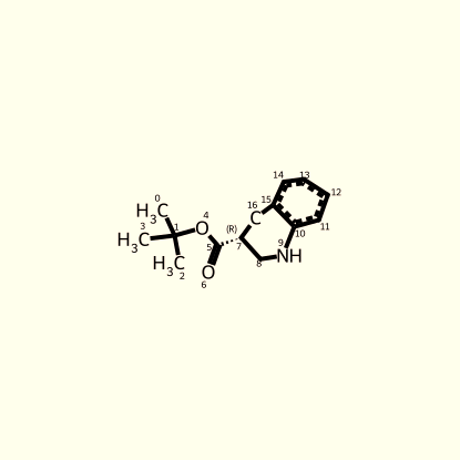 CC(C)(C)OC(=O)[C@H]1CNc2ccccc2C1